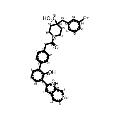 O=C(Cc1ccc(-c2cccc(-c3cc4ccncc4[nH]3)c2O)cc1)N1CCC(Cc2cccc(F)c2)(C(=O)O)CC1